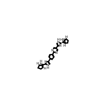 c1cc(-c2ncc(-c3c[nH]c([C@H]4N[C@@H]5CC[C@H]4C5)n3)cn2)ccc1-c1c[nH]c(C2N[C@@H]3CC[C@H]2C3)n1